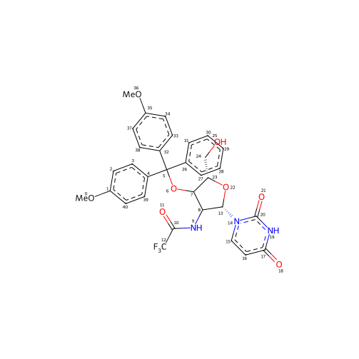 COc1ccc(C(OC2C(NC(=O)C(F)(F)F)[C@@H](n3ccc(=O)[nH]c3=O)O[C@H]2CO)(c2ccccc2)c2ccc(OC)cc2)cc1